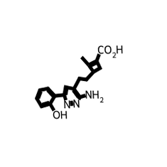 CC1=C(C(=O)O)CC1CCc1cc(-c2ccccc2O)nnc1N